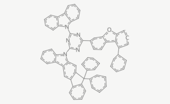 c1ccc(-c2cccc3oc4cc(-c5nc(-n6c7ccccc7c7ccccc76)nc(-n6c7ccccc7c7cc8c(cc76)C(c6ccccc6)(c6ccccc6)c6ccccc6-8)n5)ccc4c23)cc1